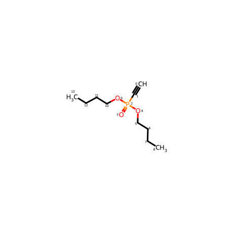 C#CP(=O)(OCCCC)OCCCC